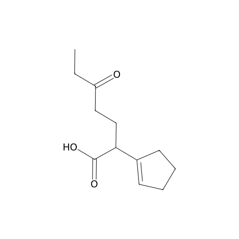 CCC(=O)CCC(C(=O)O)C1=CCCC1